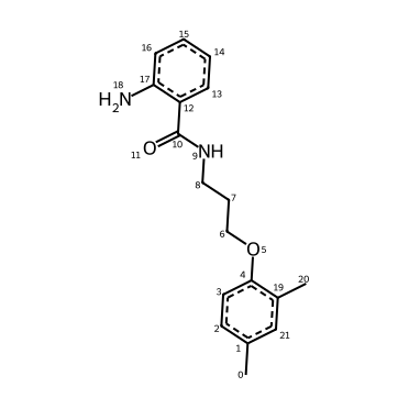 Cc1ccc(OCCCNC(=O)c2ccccc2N)c(C)c1